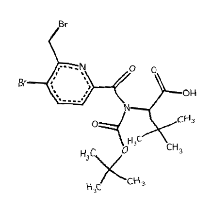 CC(C)(C)OC(=O)N(C(=O)c1ccc(Br)c(CBr)n1)C(C(=O)O)C(C)(C)C